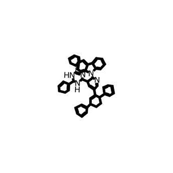 C1=CC[C@@H](C2=NC(C3C=C(C4=CC(c5ccccc5)CCC4c4ccccc4)C=NC3n3c4ccccc4c4ccccc43)NC(C3=CCCC=C3)N2)C=C1